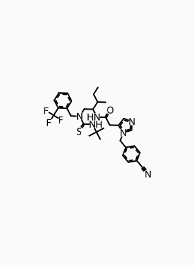 CCC(C)C(CN(Cc1ccccc1C(F)(F)F)C(=S)NC(C)(C)C)NC(=O)Cc1cncn1Cc1ccc(C#N)cc1